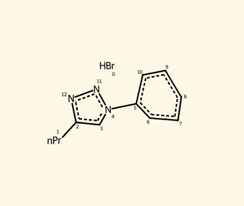 Br.CCCc1cn(-c2ccccc2)nn1